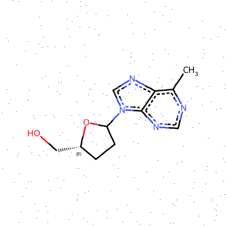 Cc1ncnc2c1ncn2C1CC[C@H](CO)O1